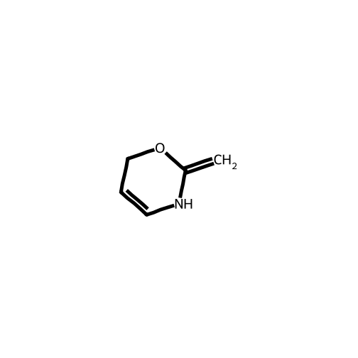 C=C1NC=CCO1